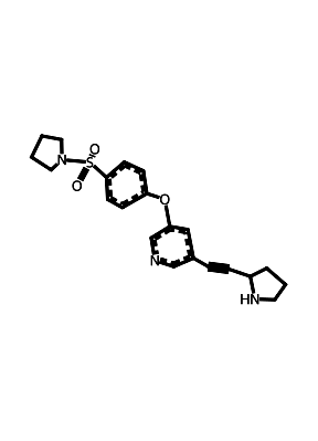 O=S(=O)(c1ccc(Oc2cncc(C#CC3CCCN3)c2)cc1)N1CCCC1